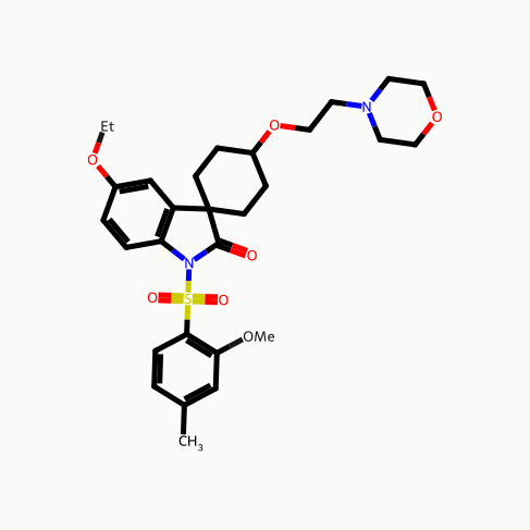 CCOc1ccc2c(c1)C1(CCC(OCCN3CCOCC3)CC1)C(=O)N2S(=O)(=O)c1ccc(C)cc1OC